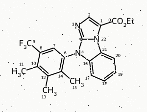 CCOC(=O)c1cnc2n(-c3cc(C(F)(F)F)c(C)c(C)c3C)c3ccccc3n12